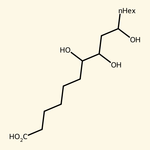 CCCCCCC(O)CC(O)C(O)CCCCCC(=O)O